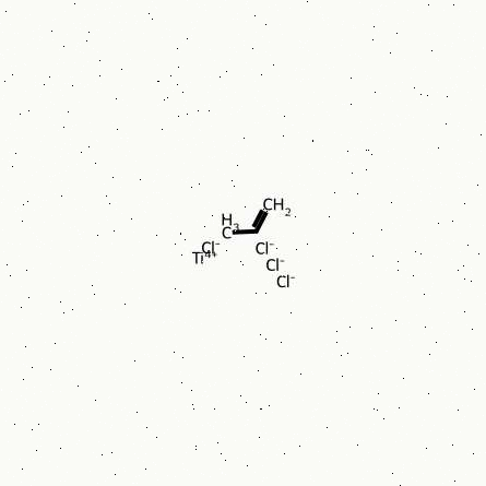 C=CC.[Cl-].[Cl-].[Cl-].[Cl-].[Ti+4]